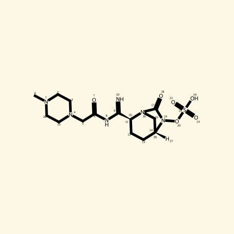 CN1CCN(CC(=O)NC(=N)[C@@H]2CC[C@@H]3CN2C(=O)N3OS(=O)(=O)O)CC1